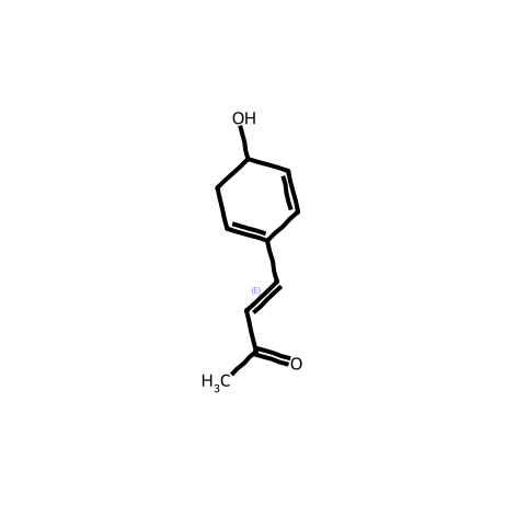 CC(=O)/C=C/C1=CCC(O)C=C1